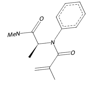 C=C(C)C(=O)N(c1ccccc1)[C@@H](C)C(=O)NC